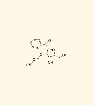 CCCOCO[C@H]1C(O)[C@@H](CO)O[C@H]1C(=O)c1ccccc1